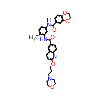 Cc1ccc(NC(=O)c2ccc3c(c2)OCCO3)cc1NC(=O)c1ccc2nc(OCCCN3CCOCC3)ccc2c1